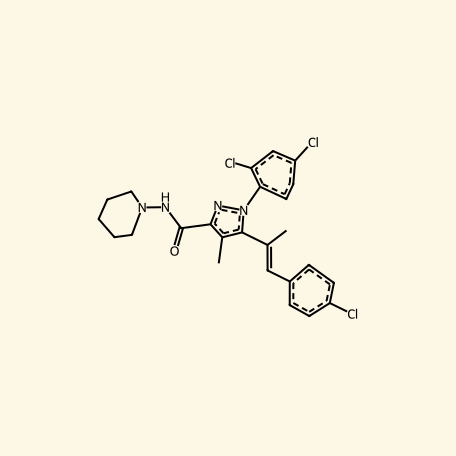 CC(=Cc1ccc(Cl)cc1)c1c(C)c(C(=O)NN2CCCCC2)nn1-c1ccc(Cl)cc1Cl